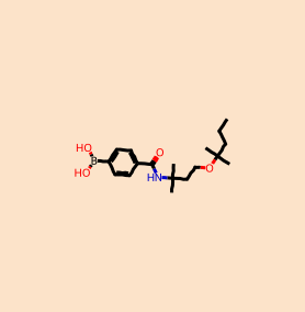 CCCC(C)(C)OCCC(C)(C)NC(=O)c1ccc(B(O)O)cc1